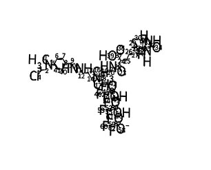 CN(CCCl)c1ccc(CNNCCC[N+](C)(C)CCCNC(=O)C(CCC[C@@H]2SC[C@@H]3NC(=O)N[C@@H]32)C(=O)O)cc1.O=C(O)C(F)(F)F.O=C(O)C(F)(F)F.O=C([O-])C(F)(F)F